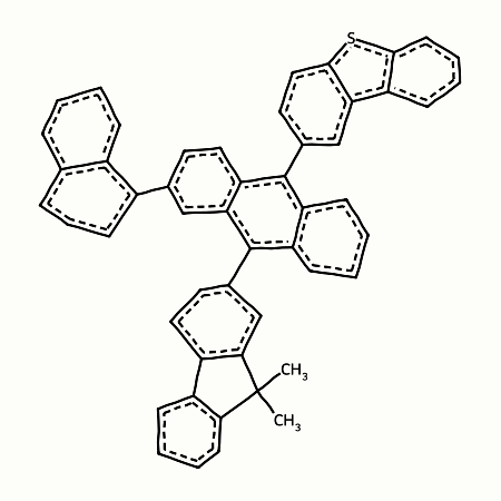 CC1(C)c2ccccc2-c2ccc(-c3c4ccccc4c(-c4ccc5sc6ccccc6c5c4)c4ccc(-c5cccc6ccccc56)cc34)cc21